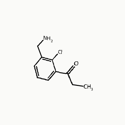 CCC(=O)c1cccc(CN)c1Cl